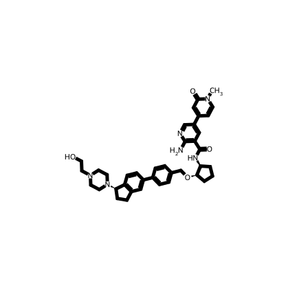 Cn1ccc(-c2cnc(N)c(C(=O)N[C@H]3CCC[C@@H]3OCc3ccc(-c4ccc5c(c4)CC[C@@H]5N4CCN(CCO)CC4)cc3)c2)cc1=O